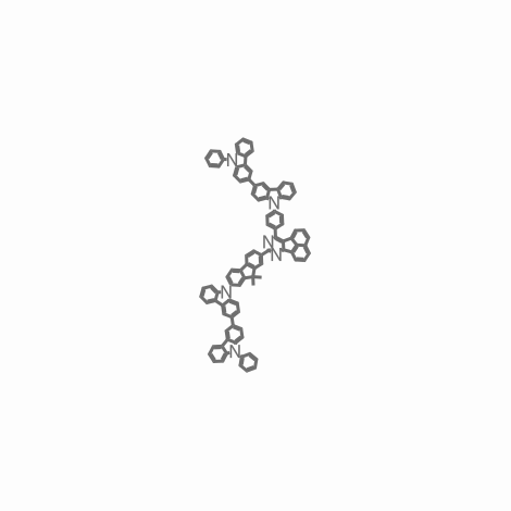 CC1(C)c2cc(-c3nc(-c4ccc(-n5c6ccccc6c6cc(-c7ccc8c(c7)c7ccccc7n8-c7ccccc7)ccc65)cc4)c4c(n3)-c3cccc5cccc-4c35)ccc2-c2ccc(-n3c4ccccc4c4cc(-c5ccc6c(c5)c5ccccc5n6-c5ccccc5)ccc43)cc21